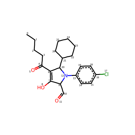 CCCCC(=O)C1=C(O)C(C=O)N(c2ccc(Cl)cc2)C1C1CCCCC1